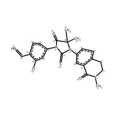 CN1CCc2ccc(N3C(=S)N(c4ccc(C=N)c(Cl)c4)C(=O)C3(C)C)cc2C1=O